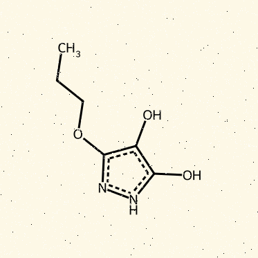 CCCOc1n[nH]c(O)c1O